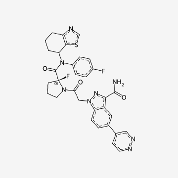 NC(=O)c1nn(CC(=O)N2CCC[C@]2(F)C(=O)N(c2ccc(F)cc2)C2CCCc3ncsc32)c2ccc(-c3ccnnc3)cc12